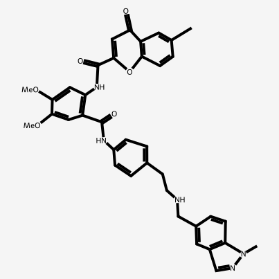 COc1cc(NC(=O)c2cc(=O)c3cc(C)ccc3o2)c(C(=O)Nc2ccc(CCNCc3ccc4c(cnn4C)c3)cc2)cc1OC